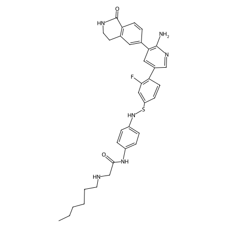 CCCCCCNCC(=O)Nc1ccc(NSc2ccc(-c3cnc(N)c(-c4ccc5c(c4)CCNC5=O)c3)c(F)c2)cc1